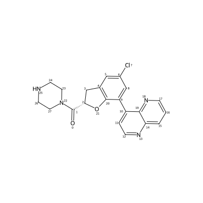 O=C([C@@H]1Cc2cc(Cl)cc(-c3ccnc4cccnc34)c2O1)N1CCNCC1